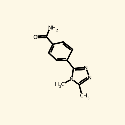 Cc1nnc(-c2ccc(C(N)=O)cc2)n1C